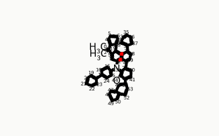 CC1(C)c2ccccc2-c2ccc(N(c3ccc(-c4ccccc4)cc3)c3c(-c4ccc(-c5ccccc5)cc4)ccc4c3oc3c5ccccc5ccc43)cc21